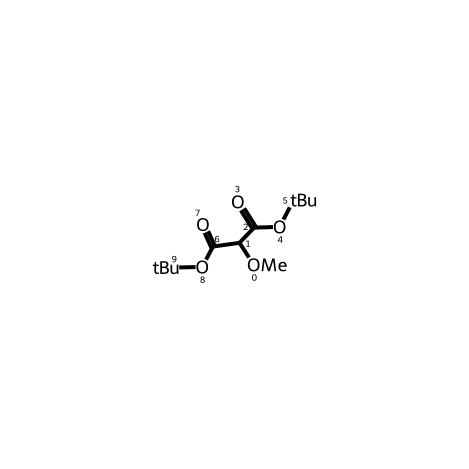 COC(C(=O)OC(C)(C)C)C(=O)OC(C)(C)C